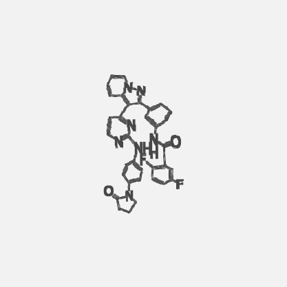 O=C(Nc1cccc(-c2nn3ccccc3c2-c2ccnc(Nc3ccc(N4CCCC4=O)cc3)n2)c1)c1cc(F)ccc1F